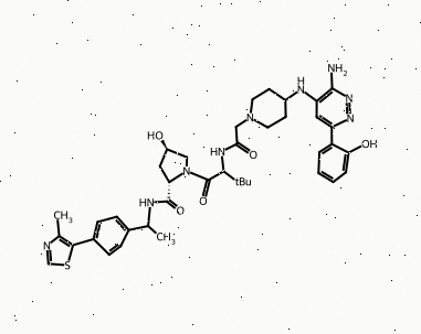 Cc1ncsc1-c1ccc(C(C)NC(=O)[C@@H]2C[C@@H](O)CN2C(=O)C(NC(=O)CN2CCC(Nc3cc(-c4ccccc4O)nnc3N)CC2)C(C)(C)C)cc1